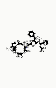 CCCC(O)C[C@@H](NC(=O)C(NC(=O)C(/N=C1\NCC(=O)N2CC[C@@H](C)[C@H]2C(=O)N[C@@H](C(C)C)C(=O)NC1C(C)(C)C)C(C)(C)C)[C@@H](C)c1ccccc1)c1nccs1